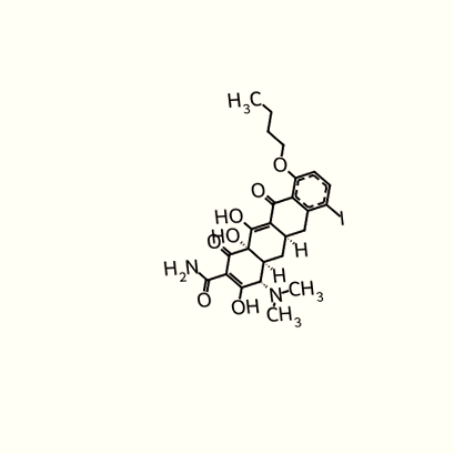 CCCCOc1ccc(I)c2c1C(=O)C1=C(O)[C@]3(O)C(=O)C(C(N)=O)=C(O)[C@@H](N(C)C)[C@@H]3C[C@@H]1C2